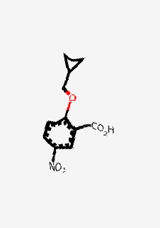 O=C(O)c1cc([N+](=O)[O-])ccc1OCC1CC1